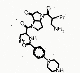 CCCC(CN)C(=O)N1CC(=O)C2C1CCN2C(=O)C(CC(C)C)NC(=O)c1ccc(N2CCNCC2)cc1